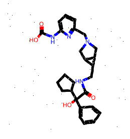 O=C(O)Nc1cccc(CN2CC3C(CNC(=O)C(O)(c4ccccc4)C4CCCC4)C3C2)n1